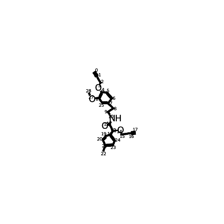 C#CCOc1ccc(CCNC(=O)[C@@H](OCC#C)c2ccc(C)cc2)cc1OC